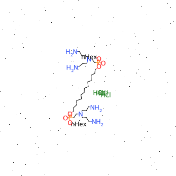 CCCCCCOP(=O)(CCN(CCCN)CCCN)OCCCCCCCCCCCCCCOP(=O)(CCN(CCCN)CCCN)OCCCCCC.Cl.Cl.Cl.Cl